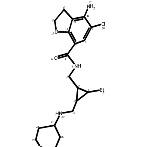 CCC1C(CNC(=O)c2cc(Cl)c(N)c3c2OCC3)C1CNC1CCOCC1